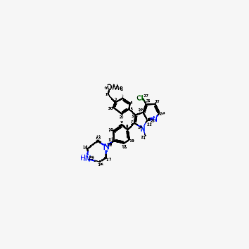 COCc1ccc(-c2c(-c3ccc(N4CCNCC4)cc3)n(C)c3nccc(Cl)c23)cc1